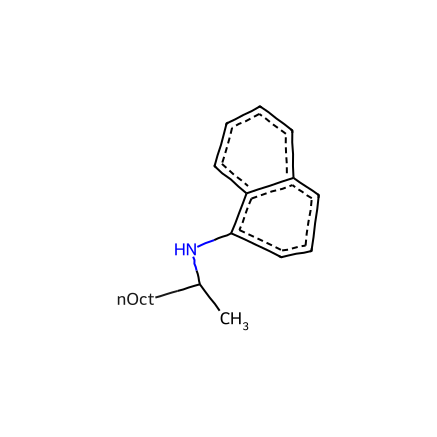 CCCCCCCCC(C)Nc1cccc2ccccc12